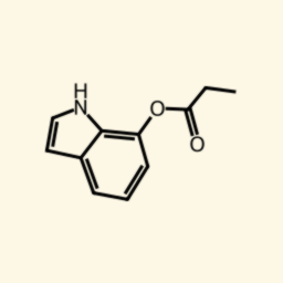 CCC(=O)Oc1cccc2cc[nH]c12